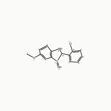 COc1ccc2c(c1)S(=N)C(c1ccccc1Cl)N2